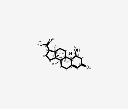 C[C@]12CC[C@@H]3[C@@H](CCC4=CC(=O)CC(O)[C@@]43C)[C@@H]1CCC2C(=O)O